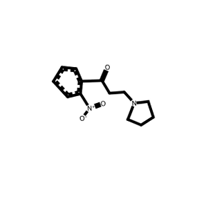 O=C(CCN1CCCC1)c1ccccc1[N+](=O)[O-]